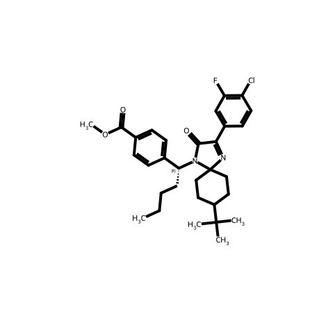 CCCC[C@H](c1ccc(C(=O)OC)cc1)N1C(=O)C(c2ccc(Cl)c(F)c2)=NC12CCC(C(C)(C)C)CC2